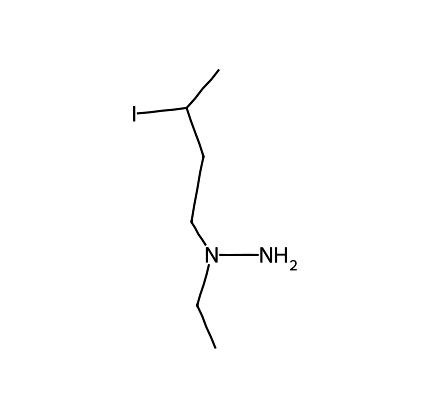 CCN(N)CCC(C)I